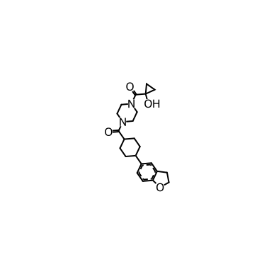 O=C(C1CCC(c2ccc3c(c2)CCO3)CC1)N1CCN(C(=O)C2(O)CC2)CC1